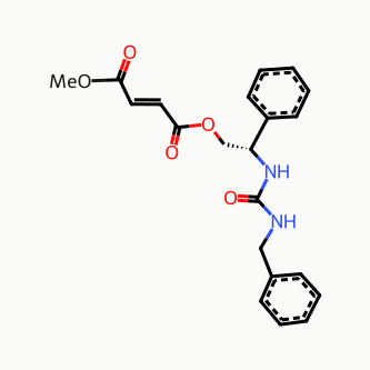 COC(=O)/C=C/C(=O)OC[C@@H](NC(=O)NCc1ccccc1)c1ccccc1